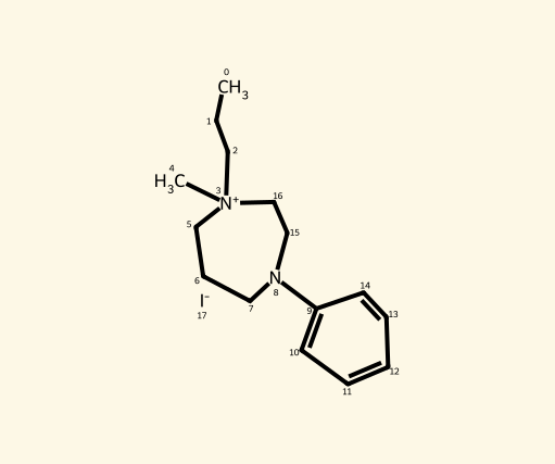 CCC[N+]1(C)CCCN(c2ccccc2)CC1.[I-]